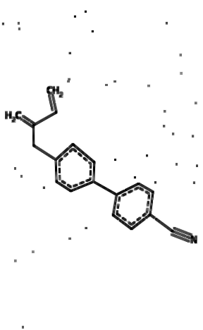 C=CC(=C)Cc1ccc(-c2ccc(C#N)cc2)cc1